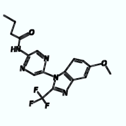 CCCC(=O)Nc1cnc(-n2c(C(F)(F)F)nc3cc(OC)ccc32)cn1